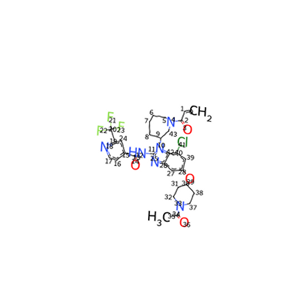 C=CC(=O)N1CCCCC(n2c(NC(=O)c3ccnc(C(F)(F)F)c3)nc3cc(OC4CCN(C(C)=O)CC4)cc(Cl)c32)C1